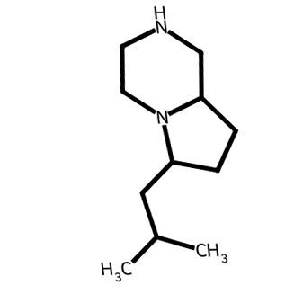 CC(C)CC1CCC2CNCCN21